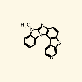 Cn1c2ccccc2n2c3c(ccc4sc5cnccc5c43)nc12